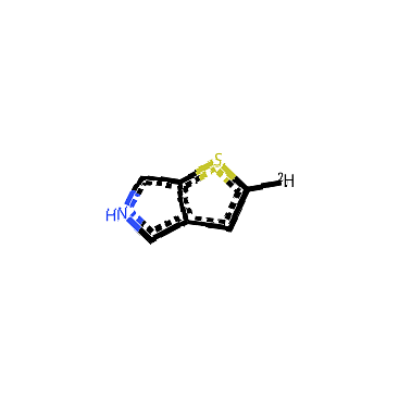 [2H]c1cc2c[nH]cc2s1